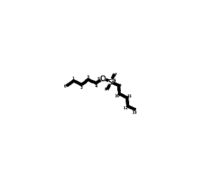 CCCCCO[Si](C)(C)CCCCC